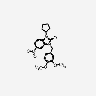 COc1ccc(Cn2c(=O)n(C3CCCC3)c3ccc([N+](=O)[O-])cc32)cc1OC